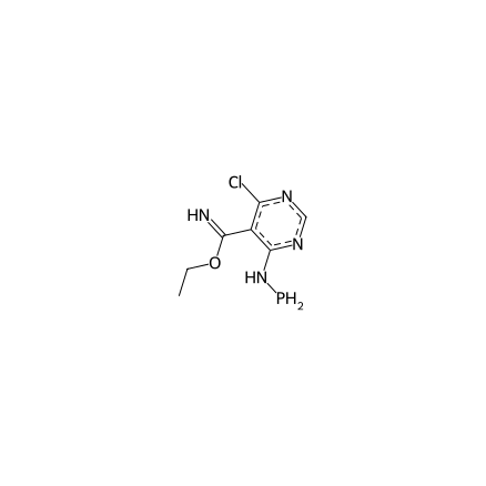 CCOC(=N)c1c(Cl)ncnc1NP